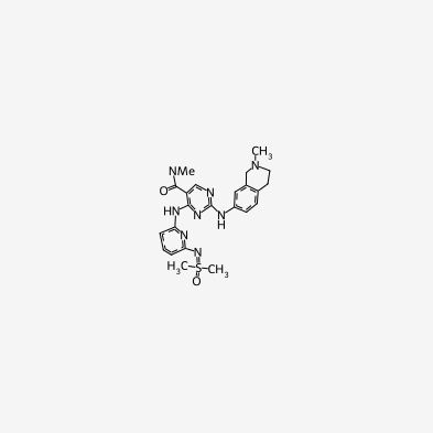 CNC(=O)c1cnc(Nc2ccc3c(c2)CN(C)CC3)nc1Nc1cccc(N=S(C)(C)=O)n1